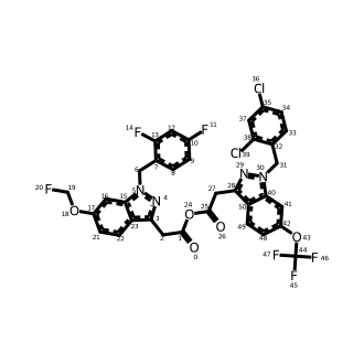 O=C(Cc1nn(Cc2ccc(F)cc2F)c2cc(OCF)ccc12)OC(=O)Cc1nn(Cc2ccc(Cl)cc2Cl)c2cc(OC(F)(F)F)ccc12